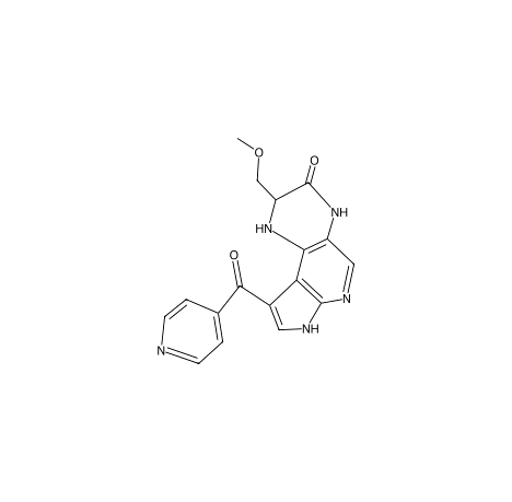 COCC1Nc2c(cnc3[nH]cc(C(=O)c4ccncc4)c23)NC1=O